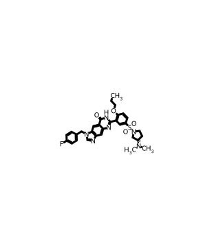 CCCOc1ccc(S(=O)(=O)N2CC[C@@H](N(C)C)C2)cc1-c1nc2cc3ncn(Cc4ccc(F)cc4)c3cc2c(=O)[nH]1